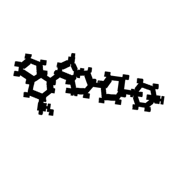 Nc1cc(-c2cnn3cc(-c4ccc(N5CCNCC5)cc4)cnc23)c2ccccc2c1